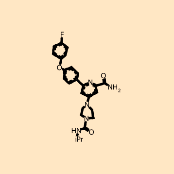 CC(C)NC(=O)N1CCN(c2cc(C(N)=O)nc(-c3ccc(Oc4ccc(F)cc4)cc3)c2)CC1